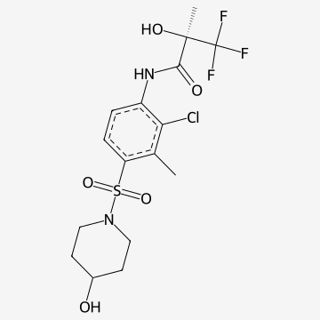 Cc1c(S(=O)(=O)N2CCC(O)CC2)ccc(NC(=O)[C@@](C)(O)C(F)(F)F)c1Cl